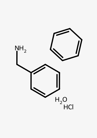 Cl.NCc1ccccc1.O.c1ccccc1